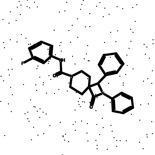 O=C(Nc1cccc(F)c1)N1CCC2(CC1)C(=O)N(c1ccccc1)C2c1ccccc1